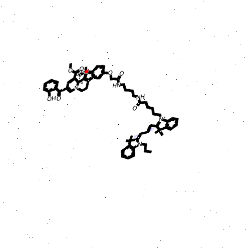 CCCN1/C(=C\C=C\C2=[N+](CCCCCC(=O)NCCCCNC(=O)COc3ccc4[nH]c5c(c4c3)CCN3C=C(C(=O)c4ccccc4O)C=C(C(=O)OC)[C@@]53C(=O)OC)c3ccccc3C2(C)C)C(C)(C)c2ccccc21